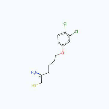 N[C@H](CS)CCCCOc1ccc(Cl)c(Cl)c1